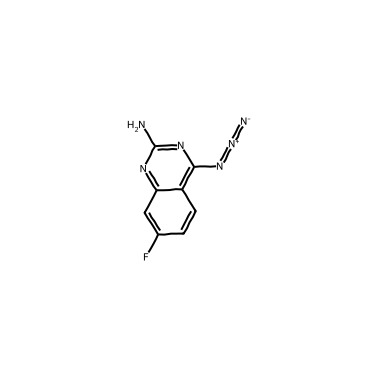 [N-]=[N+]=Nc1nc(N)nc2cc(F)ccc12